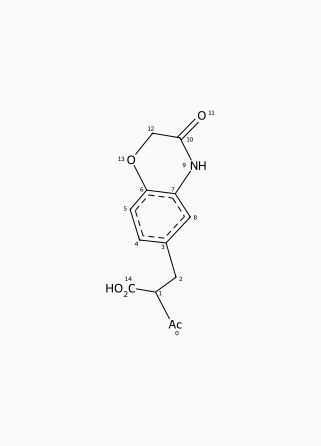 CC(=O)C(Cc1ccc2c(c1)NC(=O)CO2)C(=O)O